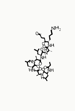 CCC(=O)N[C@@H](CC(C)C)C(=O)N[C@@H](C)C(=O)N[C@@H](CC(C)C)C(=O)N[C@@H](C)C(=O)N[C@@H](CC(C)C)C(=O)N[C@@H](C)C(=O)N[C@@H](CCCCN)C(=O)CC[C]=O